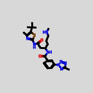 CNCCCC(CC(=O)Nc1nc(C)c(C(C)(C)C)s1)NC(=O)c1cccc(-n2nnc(C)n2)c1